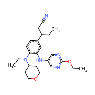 CCOc1ncc(Nc2cc(C(CC)CC#N)ccc2N(CC)C2CCOCC2)cn1